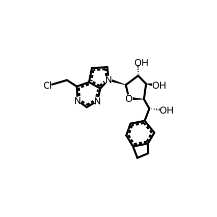 O[C@@H]1[C@@H](O)[C@H](n2ccc3c(CCl)ncnc32)O[C@@H]1[C@H](O)c1ccc2c(c1)CC2